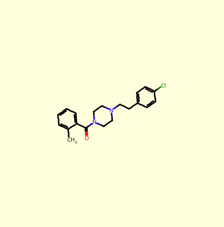 Cc1ccccc1C(=O)N1CCN(CCc2ccc(Cl)cc2)CC1